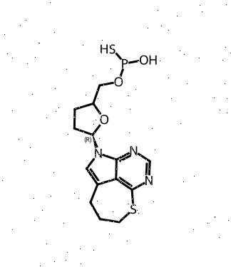 OP(S)OCC1CC[C@H](n2cc3c4c(ncnc42)SCCC3)O1